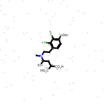 CCCCCCCCCCc1ccc(CCN(C)C(CC)CC(C(=O)O)C(=O)O)c(F)c1F